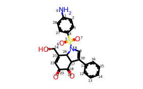 Nc1ccc(S(=O)(=O)N2C=C(c3ccccc3)C3C(=O)C(=O)C=C(CO)C32)cc1